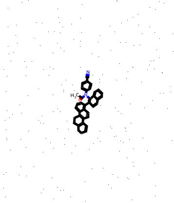 CC(=O)N(c1ccc(C#N)cc1)c1c(-c2cccc3c4c(ccc23)C2=C(CCC=C2)CC4)ccc2ccccc12